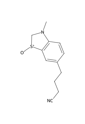 CN1C[S+]([O-])c2cc(CCCC#N)ccc21